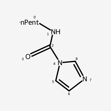 CCCC[CH]NC(=O)n1ccnc1